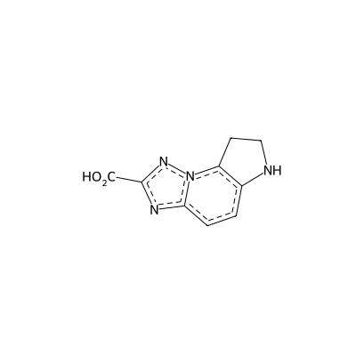 O=C(O)c1nc2ccc3c(n2n1)CCN3